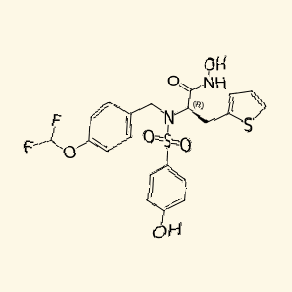 O=C(NO)[C@@H](Cc1cccs1)N(Cc1ccc(OC(F)F)cc1)S(=O)(=O)c1ccc(O)cc1